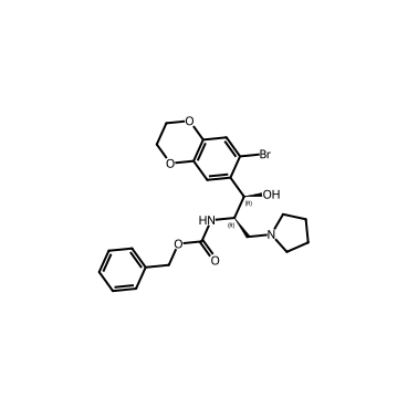 O=C(N[C@H](CN1CCCC1)[C@H](O)c1cc2c(cc1Br)OCCO2)OCc1ccccc1